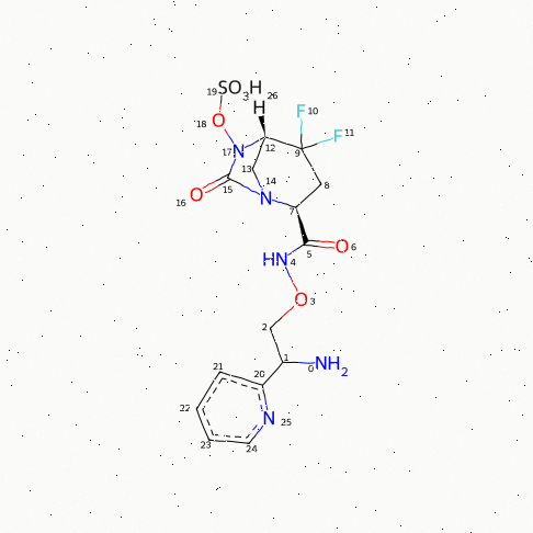 NC(CONC(=O)[C@@H]1CC(F)(F)[C@@H]2CN1C(=O)N2OS(=O)(=O)O)c1ccccn1